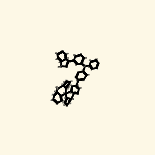 c1ccc(N(c2ccc(-c3ccc4c(c3)C3(c5ccccc5Oc5ccccc53)c3ccccc3-4)cc2)c2cccc(-c3csc4ccccc34)c2)cc1